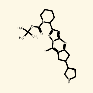 CC(C)(C)OC(=O)N1CCCCC1c1cc2nc3c(c(Cl)n2n1)CC(C1CCNC1)C3